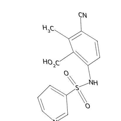 Cc1c(C#N)ccc(NS(=O)(=O)c2cccnc2)c1C(=O)O